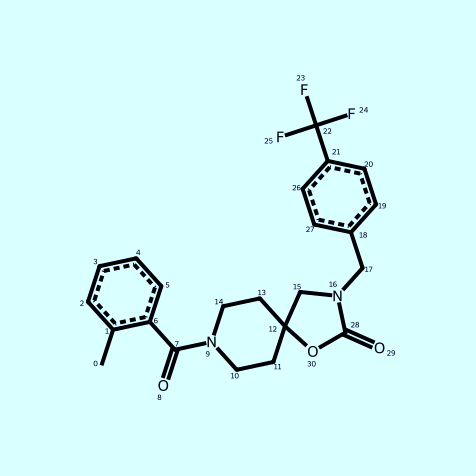 Cc1ccccc1C(=O)N1CCC2(CC1)CN(Cc1ccc(C(F)(F)F)cc1)C(=O)O2